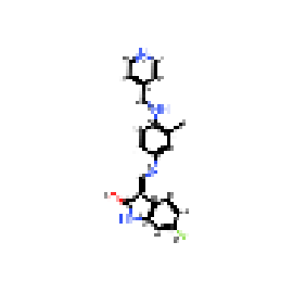 Cc1cc(N/C=C2/C(=O)Nc3cc(F)ccc32)ccc1NCc1ccncc1